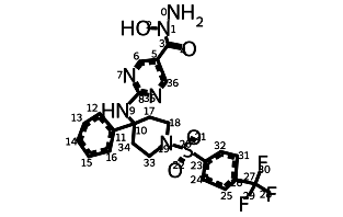 NN(O)C(=O)c1cnc(NC2(c3ccccc3)CCN(S(=O)(=O)c3ccc(C(F)(F)F)cc3)CC2)nc1